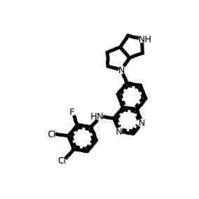 Fc1c(Nc2ncnc3ccc(N4CCC5CNCC54)cc23)ccc(Cl)c1Cl